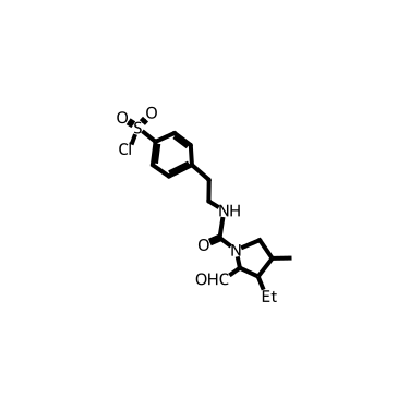 CCC1C(C)CN(C(=O)NCCc2ccc(S(=O)(=O)Cl)cc2)C1C=O